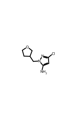 Nc1cc(Cl)nn1CC1CCOC1